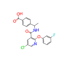 CC(NC(=O)c1cc(Cl)cnc1Oc1cccc(F)c1)c1ccc(C(=O)O)cc1